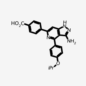 CC(C)Oc1ccc(-c2nc(-c3ccc(C(=O)O)cc3)cc3[nH]nc(N)c23)cc1